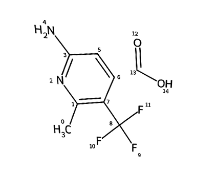 Cc1nc(N)ccc1C(F)(F)F.O=CO